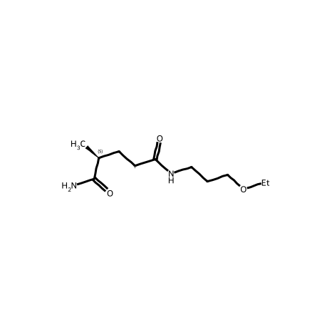 CCOCCCNC(=O)[CH]C[C@H](C)C(N)=O